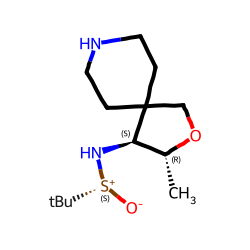 C[C@H]1OCC2(CCNCC2)[C@@H]1N[S@+]([O-])C(C)(C)C